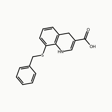 O=C(O)C1=CNc2c(cccc2SCc2ccccc2)C1